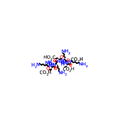 NCCCC[C@H](NC(=O)[C@H](CCC(=O)O)NC(=O)[C@H](CCCCN)NC(=O)[C@H](CCC(=O)O)NC(=O)[C@H](CCCCN)NC(=O)[C@H](CCC(=O)O)NC(=O)[C@@H](N)CCCCN)C(=O)O